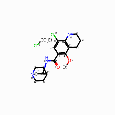 CCOC(=O)Cl.CCOc1c(C(=O)NC2CN3CCC2CC3)cc(Cl)c2c1CCCN2